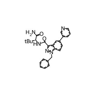 CC(C)(C)[C@H](NC(=O)c1nn(Cc2ccccc2)c2ccc(-c3cccnc3)cc12)C(N)=O